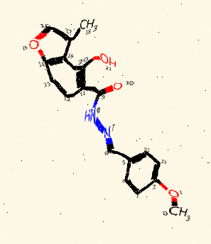 COc1ccc(C=NNC(=O)c2ccc3occ(C)c3c2O)cc1